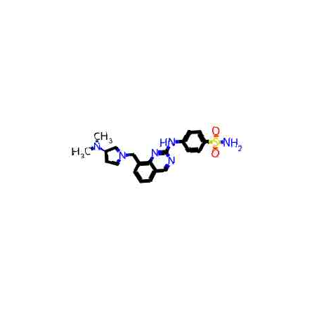 CN(C)[C@@H]1CCN(Cc2cccc3cnc(Nc4ccc(S(N)(=O)=O)cc4)nc23)C1